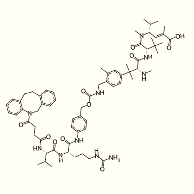 CN[C@@H](C(=O)N[C@H](C(=O)N(C)[C@@H](/C=C(\C)C(=O)O)C(C)C)C(C)(C)C)C(C)(C)c1ccc(CNC(=O)OCc2ccc(NC(=O)[C@H](CCCNC(N)=O)NC(=O)[C@@H](NC(=O)CCC(=O)N3Cc4ccccc4CCc4ccccc43)C(C)C)cc2)c(C)c1